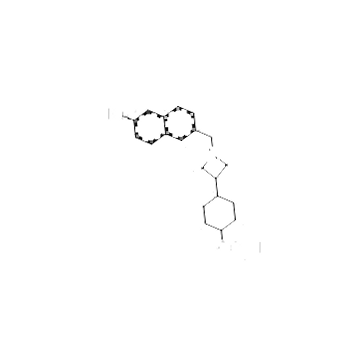 O=C(O)C1CCC(C2CN(Cc3ccc4cc(O)ccc4c3)C2)CC1